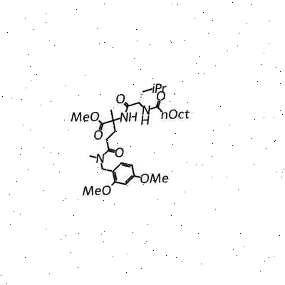 CCCCCCCCC(=O)N[C@@H](CC(C)C)C(=O)NC(C)(CCC(=O)N(C)Cc1ccc(OC)cc1OC)C(=O)OC